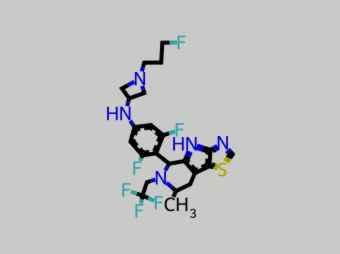 CC1Cc2c([nH]c3ncsc23)C(c2c(F)cc(NC3CN(CCCF)C3)cc2F)N1CC(F)(F)F